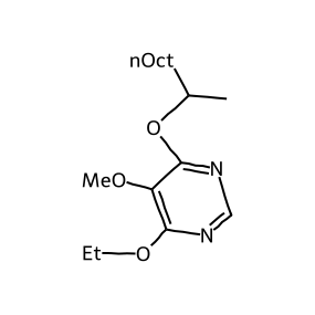 CCCCCCCCC(C)Oc1ncnc(OCC)c1OC